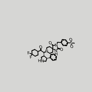 CS(=O)(=O)c1ccc(CN2C(=O)NC3(CCN(C(C(=O)C4CCC(F)(F)CC4)[C@@H]4CNC[C@@H]4c4ccccc4)CC3)C2=O)cc1